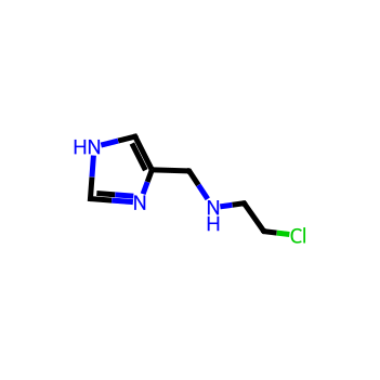 ClCCNCc1c[nH]cn1